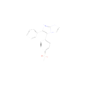 CS(=O)(=O)c1ccc(-c2c(-c3ccccc3)nc3[nH]ccn23)cc1